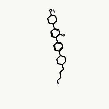 CC1CCC(c2ccc(-c3ccc(C4CCC(CCCCF)CC4)cc3)c(F)c2)CC1